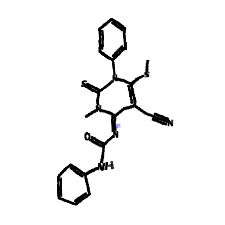 CSc1c(C#N)/c(=N/C(=O)Nc2ccccc2)n(C)c(=S)n1-c1ccccc1